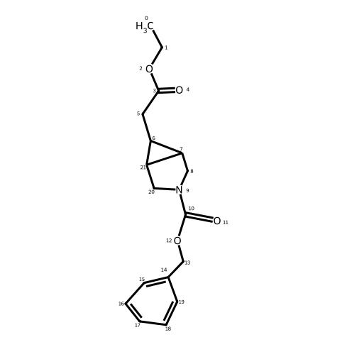 CCOC(=O)CC1C2CN(C(=O)OCc3ccccc3)CC12